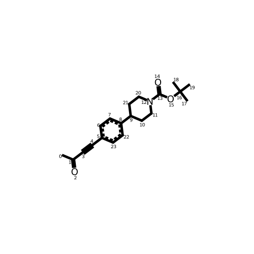 CC(=O)C#Cc1ccc(C2CCN(C(=O)OC(C)(C)C)CC2)cc1